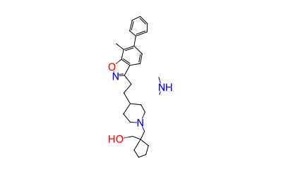 CNC.Cc1c(-c2ccccc2)ccc2c(CCC3CCN(CC4(CO)CCCC4)CC3)noc12